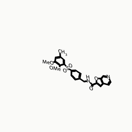 COc1cc(C)cc(S(=O)(=O)c2ccc(CNC(=O)c3cc4ccncc4o3)cc2)c1OC